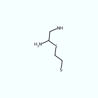 [NH]CC(N)SCC[S]